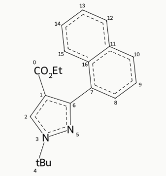 CCOC(=O)c1cn(C(C)(C)C)nc1-c1cccc2ccccc12